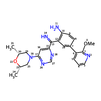 COc1ncccc1-c1ccc(N)c(C(=N)c2cc(N3C[C@@H](C)O[C@@H](C)C3)ncn2)c1